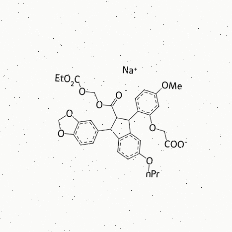 CCCOc1ccc2c(c1)C(c1ccc(OC)cc1OCC(=O)[O-])C(C(=O)OCOC(=O)OCC)C2c1ccc2c(c1)OCO2.[Na+]